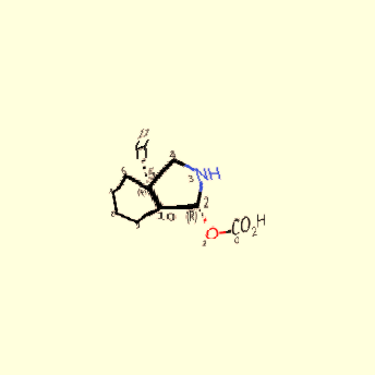 O=C(O)O[C@H]1NC[C@@H]2CCCCC21